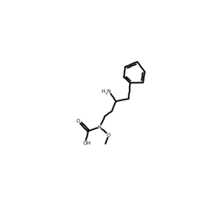 CON(CCC(N)Cc1ccccc1)C(=O)O